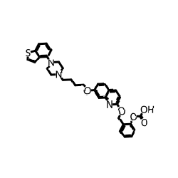 O=C(O)Oc1ccccc1COc1ccc2ccc(OCCCCN3CCN(c4cccc5sccc45)CC3)cc2n1